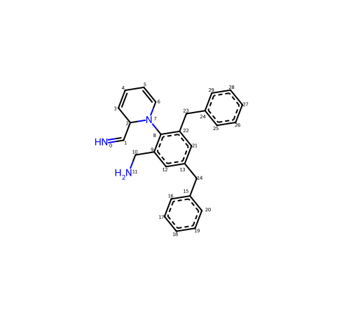 N=CC1C=CC=CN1c1c(CN)cc(Cc2ccccc2)cc1Cc1ccccc1